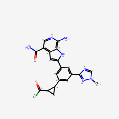 Cn1cnc(-c2cc(-c3cc4c(C(N)=O)cnc(N)c4[nH]3)cc(C3CC3C(=O)Cl)c2)n1